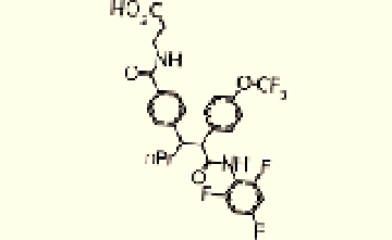 CCCC(c1ccc(C(=O)NCCC(=O)O)cc1)C(C(=O)Nc1c(F)cc(F)cc1F)c1ccc(OC(F)(F)F)cc1